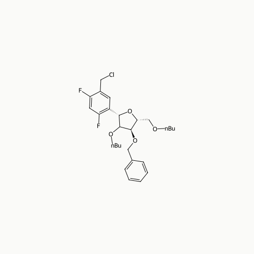 CCCCOC[C@H]1O[C@@H](c2cc(CCl)c(F)cc2F)C(OCCCC)[C@@H]1OCc1ccccc1